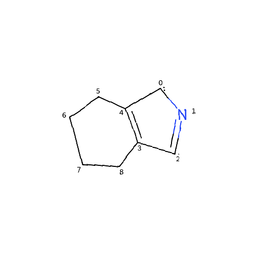 [C]1N=[C]C2=C1CCCC2